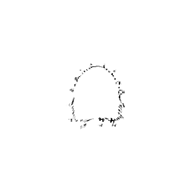 C1=COOCCCCCCCCCN=N1